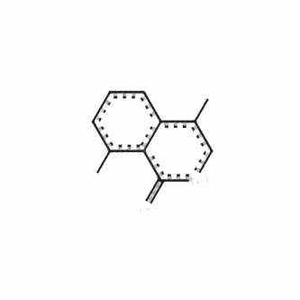 Cc1cccc2c(Br)c[nH]c(=O)c12